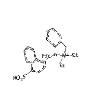 CC[N+](CC)(CC)Cc1ccccc1.O=S(=O)(O)c1ccc(O)c2ccccc12